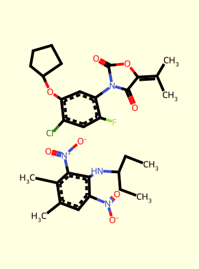 CC(C)=C1OC(=O)N(c2cc(OC3CCCC3)c(Cl)cc2F)C1=O.CCC(CC)Nc1c([N+](=O)[O-])cc(C)c(C)c1[N+](=O)[O-]